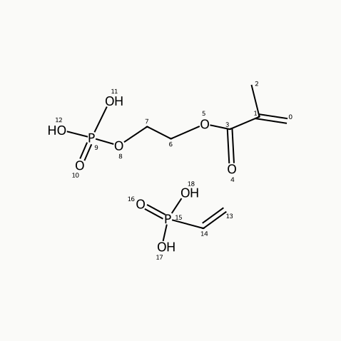 C=C(C)C(=O)OCCOP(=O)(O)O.C=CP(=O)(O)O